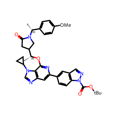 COc1ccc([C@@H](C)N2CC([C@@H](C)Oc3nc(-c4ccc5c(cnn5C(=O)OC(C)(C)C)c4)cc4ncn(C5CC5)c34)CC2=O)cc1